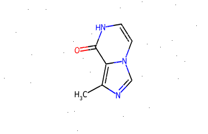 Cc1ncn2cc[nH]c(=O)c12